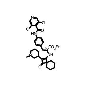 CCOC(=O)[C@H](Cc1ccc(NC(=O)c2c(Cl)cncc2Cl)cc1)NC1=C(C2CCCN(C)C2)C(=O)C12CCCCC2